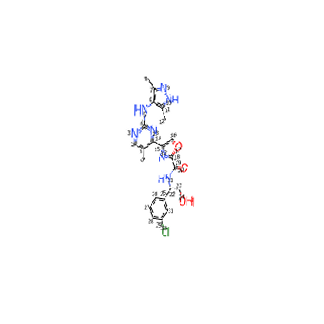 Cc1cnc(Nc2c(C)n[nH]c2C)nc1-c1coc(C(=O)N[C@H](CO)c2cccc(Cl)c2)n1